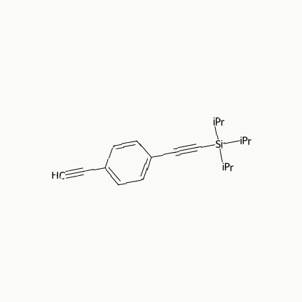 C#Cc1ccc(C#C[Si](C(C)C)(C(C)C)C(C)C)cc1